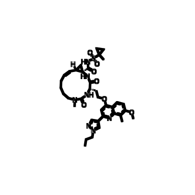 CCCn1cc(-c2cc(OCC[C@@H]3NC(=O)N(C)CCCCC=C[C@@H]4C[C@@]4(C(=O)NS(=O)(=O)C4(C)CC4)NC3=O)c3ccc(OC)c(C)c3n2)cn1